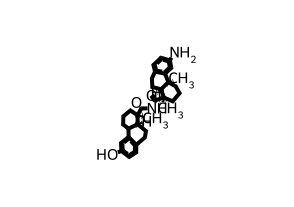 C[C@]1(C(=O)NC(=O)[C@@]2(C)CCC[C@]3(C)c4cc(N)ccc4CC[C@@H]23)CCCC2c3cc(O)ccc3CC[C@H]21